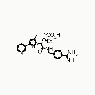 CC(=O)O.CCOC(C(=O)NCc1ccc(C(=N)N)cc1)n1nc(-c2cccnc2)cc1C